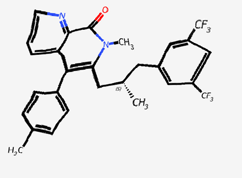 Cc1ccc(-c2c(C[C@@H](C)Cc3cc(C(F)(F)F)cc(C(F)(F)F)c3)n(C)c(=O)c3ncccc23)cc1